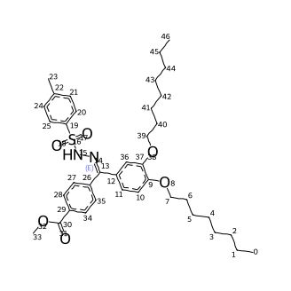 CCCCCCCCOc1ccc(/C(=N/NS(=O)(=O)c2ccc(C)cc2)c2ccc(C(=O)OC)cc2)cc1OCCCCCCCC